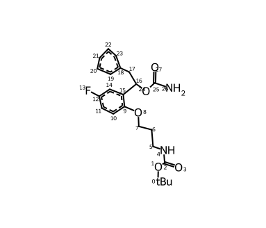 CC(C)(C)OC(=O)NCCCOc1ccc(F)cc1C(Cc1ccccc1)OC(N)=O